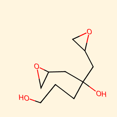 OCCCC(O)(CC1CO1)CC1CO1